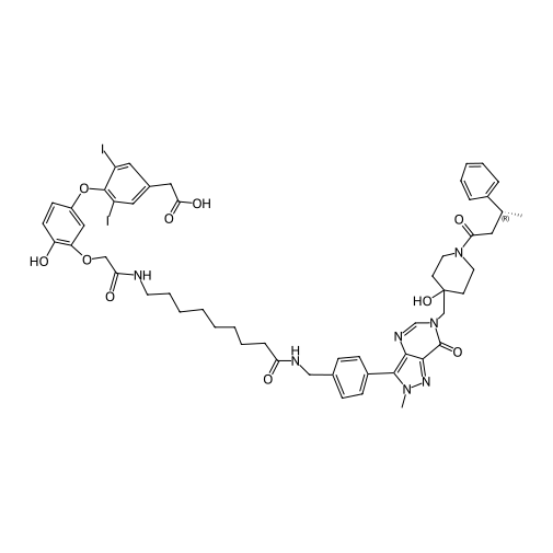 C[C@H](CC(=O)N1CCC(O)(Cn2cnc3c(-c4ccc(CNC(=O)CCCCCCCCNC(=O)COc5cc(Oc6c(I)cc(CC(=O)O)cc6I)ccc5O)cc4)n(C)nc3c2=O)CC1)c1ccccc1